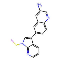 Nc1cnc2ccc(-c3cn(SI)c4ncccc34)cc2c1